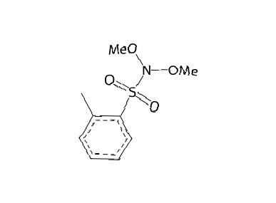 CON(OC)S(=O)(=O)c1ccccc1C